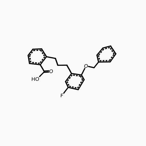 O=C(O)c1ccccc1CCCc1cc(F)ccc1OCc1ccccc1